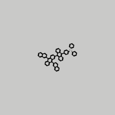 c1ccc(N(c2ccccc2)c2ccc(-c3c4ccccc4c(-c4ccc5c(-c6ccc7ccccc7c6)c6ccccc6c(-c6ccc7ccccc7c6)c5c4)c4ccccc34)cc2)cc1